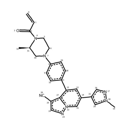 C=CC(=O)N1CCN(c2ccc(-c3cc(-c4cnn(C)c4)cn4ncc(C#N)c34)cc2)C[C@H]1C